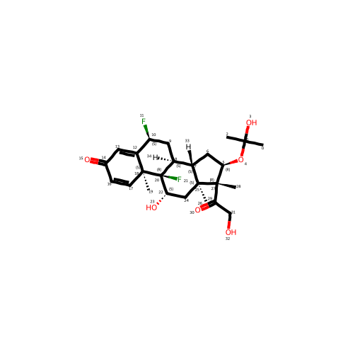 CC(C)(O)O[C@@H]1C[C@H]2[C@@H]3C[C@H](F)C4=CC(=O)C=C[C@]4(C)[C@@]3(F)[C@@H](O)C[C@]2(C)[C@@]1(C)C(=O)CO